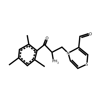 Cc1cc(C)c(C(=O)C(P)CN2C=CSC=C2C=O)c(C)c1